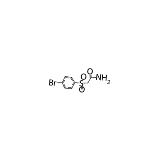 NC(=O)CS(=O)(=O)c1ccc(Br)cc1